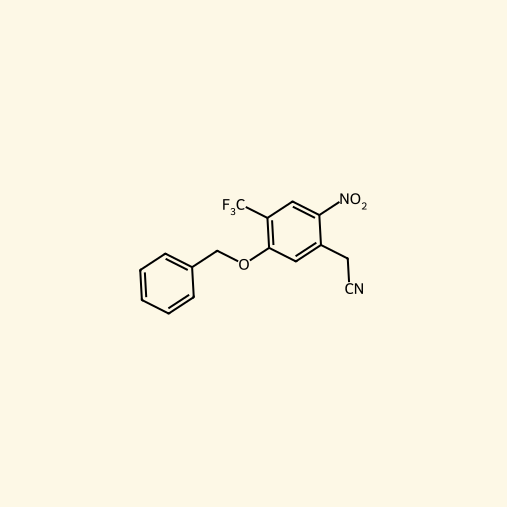 N#CCc1cc(OCc2ccccc2)c(C(F)(F)F)cc1[N+](=O)[O-]